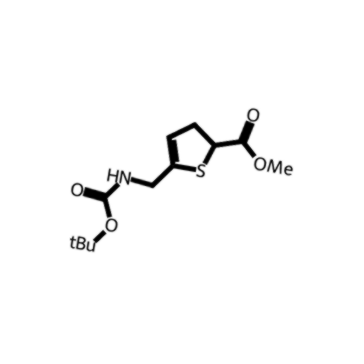 COC(=O)C1CC=C(CNC(=O)OC(C)(C)C)S1